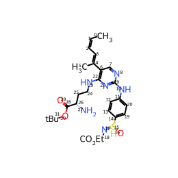 C/C=C\C=C(/C)c1cnc(Nc2ccc([SH](=O)=NC(=O)OCC)cc2)nc1NCC[C@H](N)C(=O)OC(C)(C)C